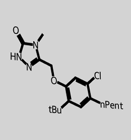 CCCCCc1cc(C(C)(C)C)c(OCc2n[nH]c(=O)n2C)cc1Cl